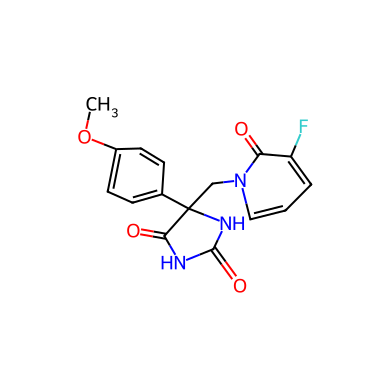 COc1ccc(C2(Cn3cccc(F)c3=O)NC(=O)NC2=O)cc1